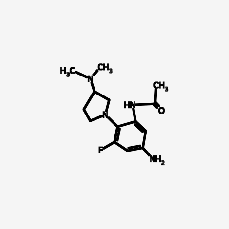 CC(=O)Nc1cc(N)cc(F)c1N1CCC(N(C)C)C1